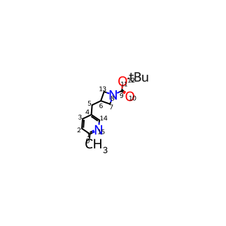 Cc1ccc(CC2CN(C(=O)OC(C)(C)C)C2)cn1